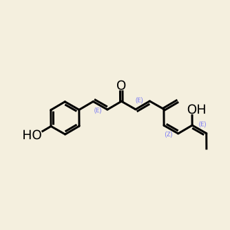 C=C(/C=C\C(O)=C/C)/C=C/C(=O)/C=C/c1ccc(O)cc1